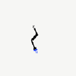 N#CC=[CH][K]